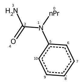 CCCN(C(N)=O)c1cc[c]cc1